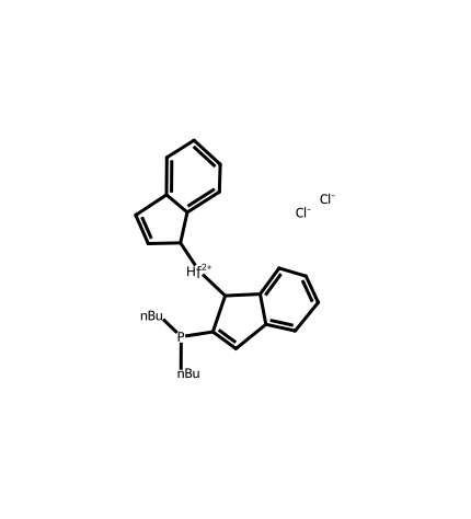 CCCCP(CCCC)C1=Cc2ccccc2[CH]1[Hf+2][CH]1C=Cc2ccccc21.[Cl-].[Cl-]